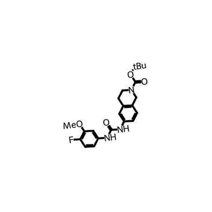 COc1cc(NC(=O)Nc2ccc3c(c2)CCN(C(=O)OC(C)(C)C)C3)ccc1F